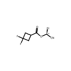 CC[C@@H](C#N)OC(=O)C1CC(F)(F)C1